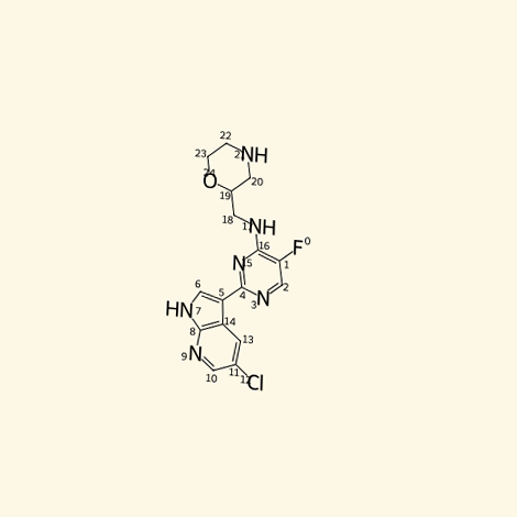 Fc1cnc(-c2c[nH]c3ncc(Cl)cc23)nc1NCC1CNCCO1